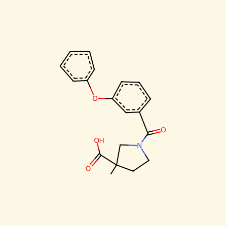 CC1(C(=O)O)CCN(C(=O)c2cccc(Oc3ccccc3)c2)C1